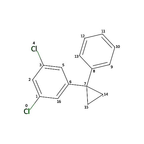 Clc1cc(Cl)cc(C2(c3ccccc3)[CH]C2)c1